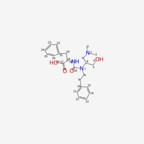 CN(C)CC(CO)N(CCc1ccccc1)C(=O)NC(Cc1ccccc1)C(=O)O